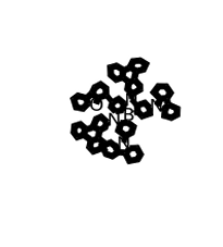 c1ccc2c(c1)oc1c(-c3cc4c5c(c3)N(c3ccc6c7ccccc7c7ccccc7c6c3)c3cc(-n6c7ccccc7c7ccccc76)ccc3B5c3ccc(-n5c6ccccc6c6ccccc65)cc3N4c3ccc4c5ccccc5c5ccccc5c4c3)cccc12